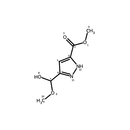 COC(=O)c1cc(C(O)OC)n[nH]1